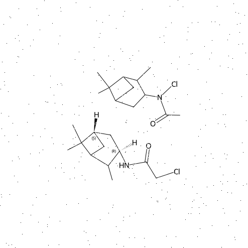 CC(=O)N(Cl)C1CC2CC(C1C)C2(C)C.CC1C2C[C@@H](C[C@H]1NC(=O)CCl)C2(C)C